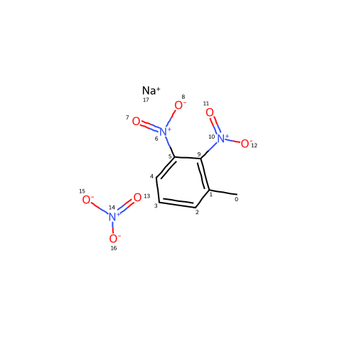 Cc1cccc([N+](=O)[O-])c1[N+](=O)[O-].O=[N+]([O-])[O-].[Na+]